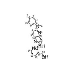 Cc1ccc(N(C)c2ccc3nc(Nc4ncccc4CO)sc3n2)cc1